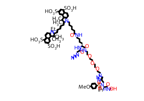 CC[N+]1=C(/C=C/C=C/C=C2/N(CCCCCC(=O)NCCCC[C@H](NC(=O)CN=[N+]=[N-])C(=O)NCCOCCOCCOCCn3cc(CN([C@@H](C(=O)NO)C(C)C)S(=O)(=O)c4ccc(OC)cc4)nn3)c3ccc4c(S(=O)(=O)O)cc(S(=O)(=O)O)cc4c3C2(C)C)C(C)(C)c2c1ccc1c(S(=O)(=O)O)cc(S(=O)(=O)O)cc21